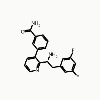 NC(=O)c1cccc(-c2cccnc2[C@@H](N)Cc2cc(F)cc(F)c2)c1